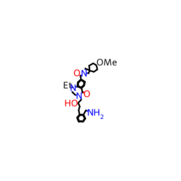 CCN1CCN(CC(O)CCc2ccccc2CN)C(=O)c2ccc(C(=O)N3CC4(CCC(OC)CC4)C3)cc21